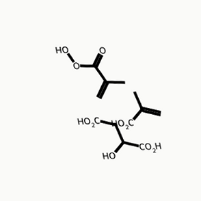 C=C(C)C(=O)O.C=C(C)C(=O)OO.O=C(O)CC(O)C(=O)O